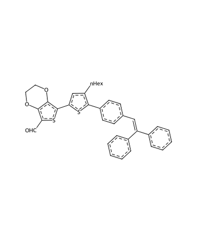 CCCCCCc1cc(-c2sc(C=O)c3c2OCCO3)sc1-c1ccc(C=C(c2ccccc2)c2ccccc2)cc1